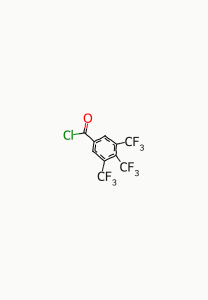 O=C(Cl)c1cc(C(F)(F)F)c(C(F)(F)F)c(C(F)(F)F)c1